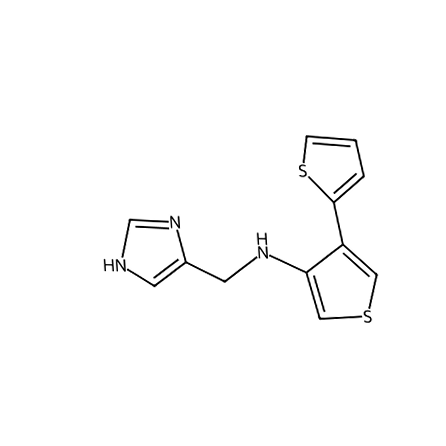 c1csc(-c2cscc2NCc2c[nH]cn2)c1